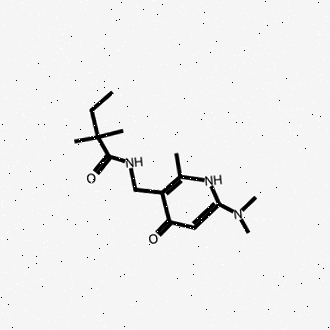 CCC(C)(C)C(=O)NCc1c(C)[nH]c(N(C)C)cc1=O